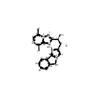 Cc1ncc(C)n2nc([C@@H](C)[C@H](C)c3cn4c(n3)-c3ccccc3C4)nc12